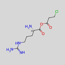 N=C(N)NCCC[C@H](N)C(=O)OC(=O)CCCl